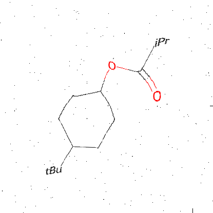 CC(C)C(=O)OC1CCC(C(C)(C)C)CC1